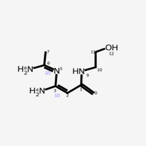 C=C(/C=C(N)\N=C(\C)N)NCCO